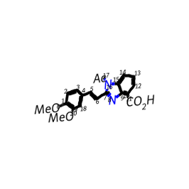 COc1ccc(C=Cc2nc3c(C(=O)O)cccc3n2C(C)=O)cc1OC